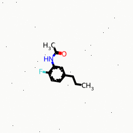 CCCc1ccc(F)c(NC(C)=O)c1